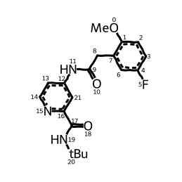 COc1ccc(F)cc1CC(=O)Nc1ccnc(C(=O)NC(C)(C)C)c1